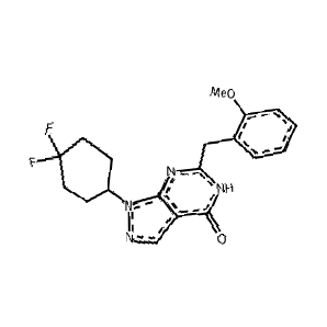 COc1ccccc1Cc1nc2c(cnn2C2CCC(F)(F)CC2)c(=O)[nH]1